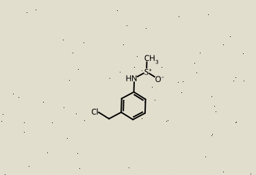 C[S+]([O-])Nc1cccc(CCl)c1